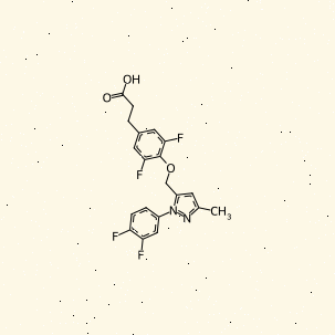 Cc1cc(COc2c(F)cc(CCC(=O)O)cc2F)n(-c2ccc(F)c(F)c2)n1